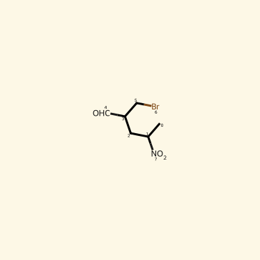 CC(CC(C=O)CBr)[N+](=O)[O-]